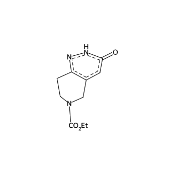 CCOC(=O)N1CCc2n[nH]c(=O)cc2C1